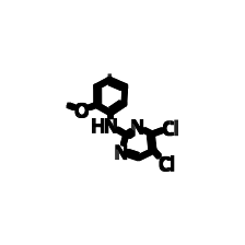 COc1c[c]ccc1Nc1ncc(Cl)c(Cl)n1